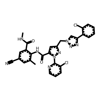 CNC(=O)c1cc(C#N)cc(C)c1NC(=O)c1cc(Cn2cc(-c3ccccc3Cl)nn2)nn1-c1ncccc1Cl